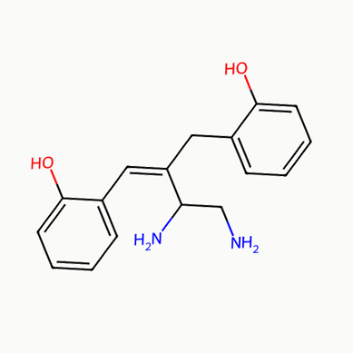 NCC(N)C(=Cc1ccccc1O)Cc1ccccc1O